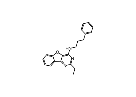 CCc1nc(NCCCc2ccccc2)c2oc3ccccc3c2n1